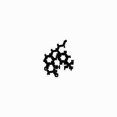 CCCC(Cc1ccc2c(c1)NC(=O)CO2)c1ccc(C(F)(F)F)cc1